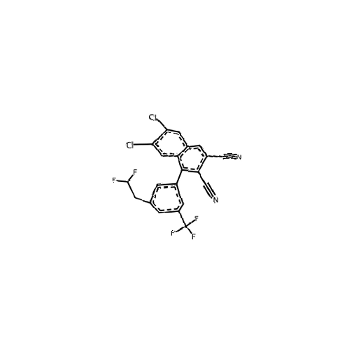 N#Cc1cc2cc(Cl)c(Cl)cc2c(-c2cc(CC(F)F)cc(C(F)(F)F)c2)c1C#N